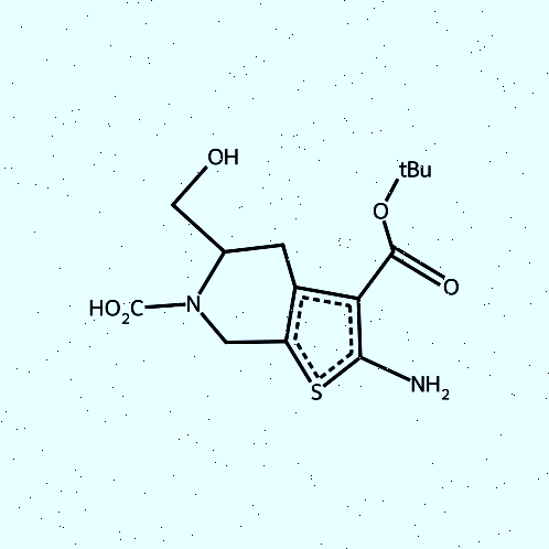 CC(C)(C)OC(=O)c1c(N)sc2c1CC(CO)N(C(=O)O)C2